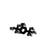 Cc1cc(C(C)(C)C)[c]cc1C(C)(C)C